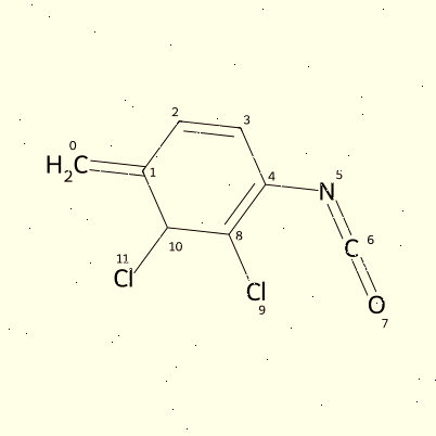 C=C1C=CC(N=C=O)=C(Cl)C1Cl